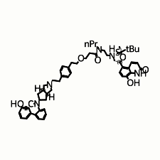 CCCN(CCNC[C@H](O[Si](C)(C)C(C)(C)C)c1ccc(O)c2[nH]c(=O)ccc12)C(=O)CCOCCc1ccc(CCN2C[C@H]3CC(N(C(=O)O)c4ccccc4-c4ccccc4)C[C@H]3C2)cc1